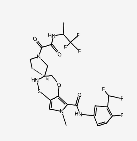 CC(NC(=O)C(=O)N1CC[C@@]2(COc3c(cn(C)c3C(=O)Nc3ccc(F)c(C(F)F)c3)SN2)C1)C(F)(F)F